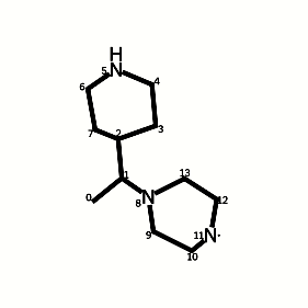 CC(C1CCNCC1)N1CC[N]CC1